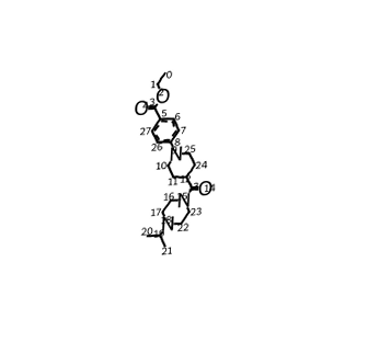 CCOC(=O)c1ccc(N2CCC(C(=O)N3CCN(C(C)C)CC3)CC2)cc1